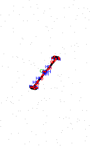 CN(C)c1ccc2cc3ccc(N(C)C)cc3[n+](CCCCCC(=O)CCCCCNC(=O)CCCCCNc3nc(Cl)nc(NCCCCCC(=O)NCCCCCNC(=O)CCCCC[n+]4c5cc(N(C)C)ccc5cc5ccc(N(C)C)cc54)n3)c2c1